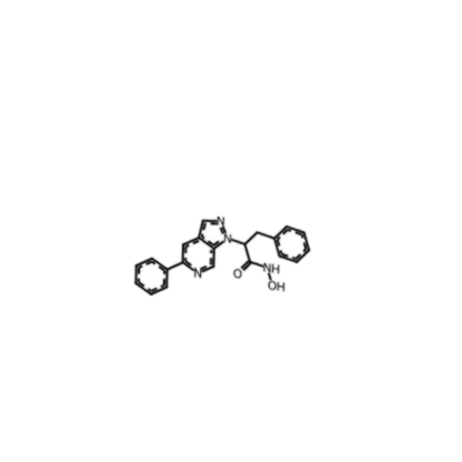 O=C(NO)C(Cc1ccccc1)n1ncc2cc(-c3ccccc3)ncc21